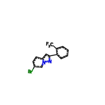 FC(F)(F)c1ccccc1-c1cc2ccc(Br)cn2n1